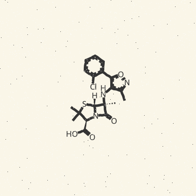 Cc1noc(-c2ccccc2Cl)c1N[C@@]1(C)C(=O)N2[C@@H](C(=O)O)C(C)(C)S[C@@H]21